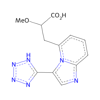 COC(Cc1cccc2ncc(-c3nnn[nH]3)n12)C(=O)O